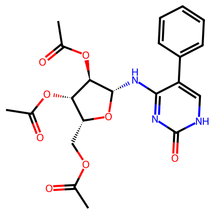 CC(=O)OC[C@H]1O[C@@H](Nc2nc(=O)[nH]cc2-c2ccccc2)[C@H](OC(C)=O)[C@H]1OC(C)=O